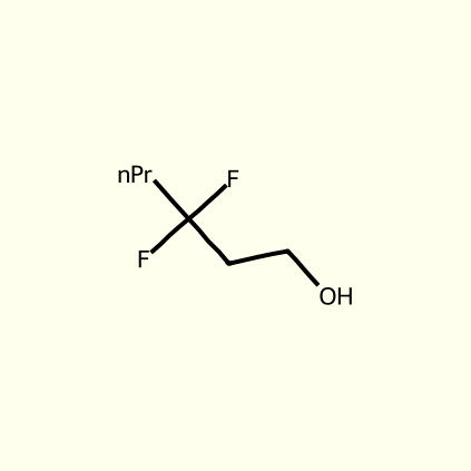 CCCC(F)(F)CCO